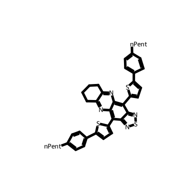 CCCCCc1ccc(-c2ccc(-c3c4nsnc4c(-c4ccc(-c5ccc(CCCCC)cc5)s4)c4nc5c(nc34)CCCC5)s2)cc1